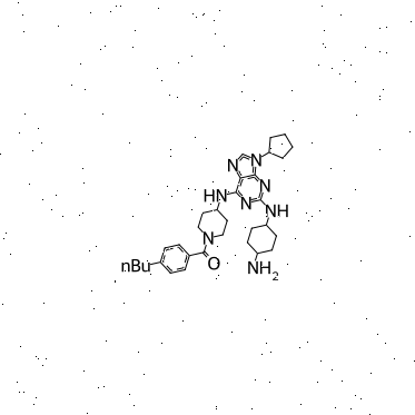 CCCCc1ccc(C(=O)N2CCC(Nc3nc(NC4CCC(N)CC4)nc4c3ncn4C3CCCC3)CC2)cc1